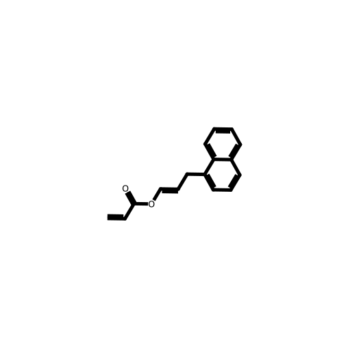 C=CC(=O)OC=CCc1cccc2ccccc12